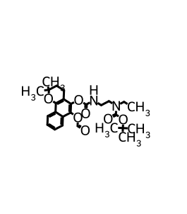 CCN(CCNC(=O)Oc1c2c(c3ccccc3c1OC=O)OC(C)(C)CC2)C(=O)OC(C)(C)C